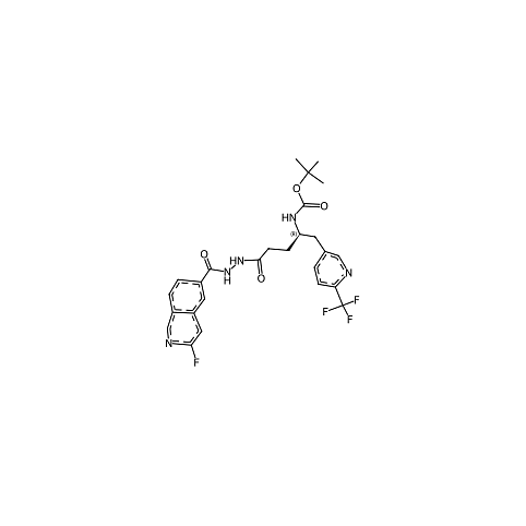 CC(C)(C)OC(=O)N[C@H](CCC(=O)NNC(=O)c1ccc2cnc(F)cc2c1)Cc1ccc(C(F)(F)F)nc1